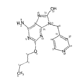 CCCCOc1nc(N)c2nc(O)n(Cc3ccncc3)c2n1